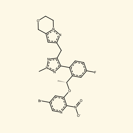 C[C@@H](Oc1cc(Br)cnc1[N+](=O)[O-])c1cc(F)ccc1-c1nn(C)nc1Cc1cc2n(n1)CCOC2